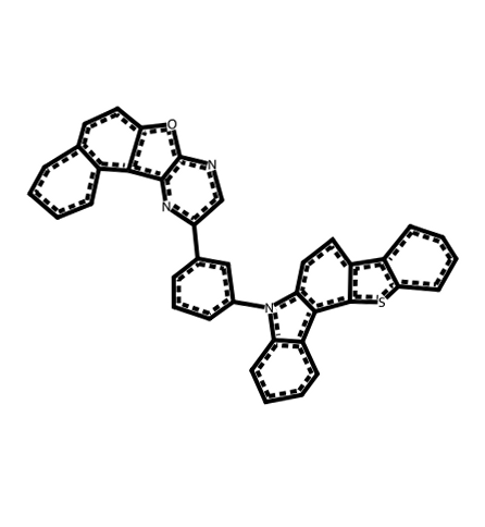 c1cc(-c2cnc3oc4ccc5ccccc5c4c3n2)cc(-n2c3ccccc3c3c4sc5ccccc5c4ccc32)c1